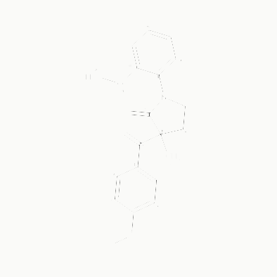 COc1ccc(C(=O)C2(C)CCN(c3ccccc3OC)C2=O)cc1